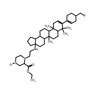 CCOC(=O)C1C[S+]([O-])CCN1CCNC12CCCC1C1CCC3C(C)(CCC4C(C)(C)C(C5=CCC(CF)CC5)=CCC43C)C1CC2